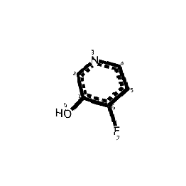 Oc1[c]nccc1F